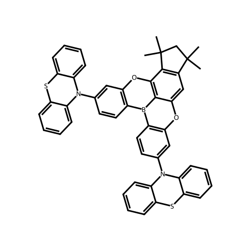 CC1(C)CC(C)(C)c2c1cc1c3c2Oc2cc(N4c5ccccc5Sc5ccccc54)ccc2B3c2ccc(N3c4ccccc4Sc4ccccc43)cc2O1